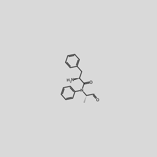 C[C@@H]([C]=O)N(C(=O)[C@@H](N)Cc1ccccc1)c1ccccc1